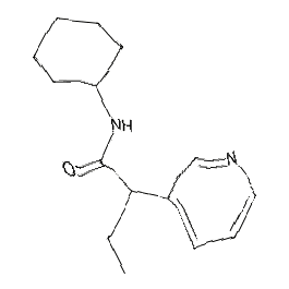 CCC(C(=O)NC1CCCCC1)c1cccnc1